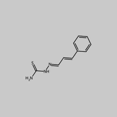 NC(=S)NN=C/C=C/c1ccccc1